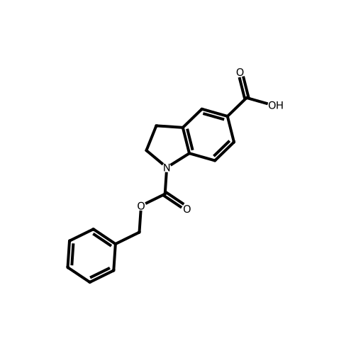 O=C(O)c1ccc2c(c1)CCN2C(=O)OCc1ccccc1